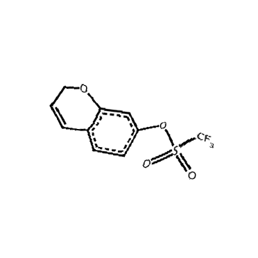 O=S(=O)(Oc1ccc2c(c1)OCC=C2)C(F)(F)F